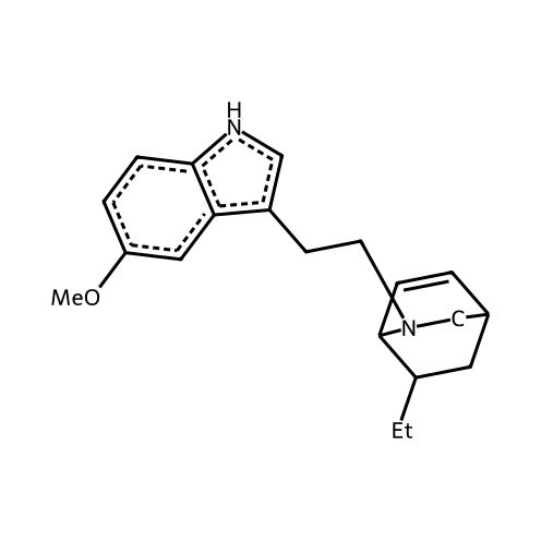 CCC1CC2C=CC1N(CCc1c[nH]c3ccc(OC)cc13)C2